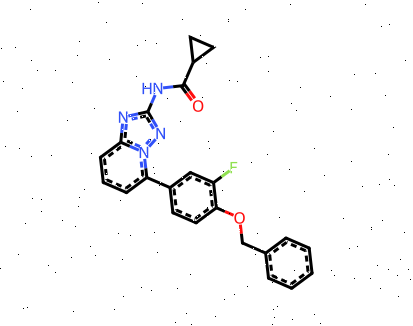 O=C(Nc1nc2cccc(-c3ccc(OCc4ccccc4)c(F)c3)n2n1)C1CC1